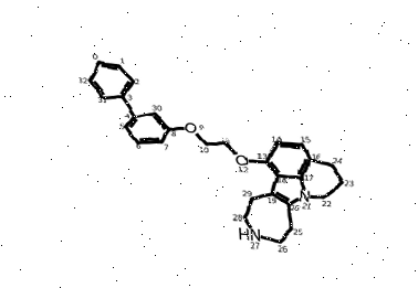 c1ccc(-c2cccc(OCCOc3ccc4c5c3c3c(n5CCC4)CCNCC3)c2)cc1